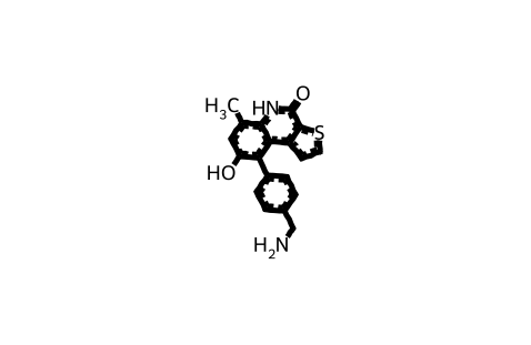 Cc1cc(O)c(-c2ccc(CN)cc2)c2c1[nH]c(=O)c1sccc12